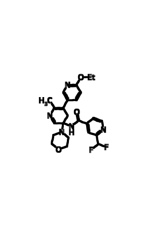 CCOc1ccc(C2=C(C)N=CC(NC(=O)c3ccnc(C(F)F)c3)(N3CCOCC3)C2)cn1